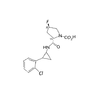 O=C(NC1CC1c1ccccc1Cl)[C@@H]1C[C@@H](F)CN1C(=O)O